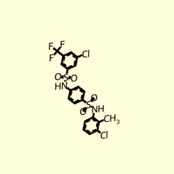 Cc1c(Cl)cccc1NS(=O)(=O)c1ccc(NS(=O)(=O)c2cc(Cl)cc(C(F)(F)F)c2)cc1